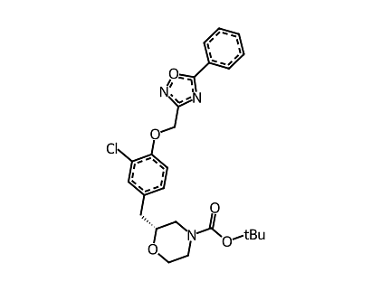 CC(C)(C)OC(=O)N1CCO[C@H](Cc2ccc(OCc3noc(-c4ccccc4)n3)c(Cl)c2)C1